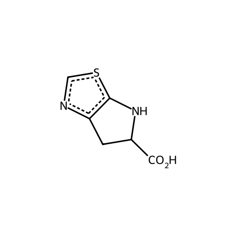 O=C(O)C1Cc2ncsc2N1